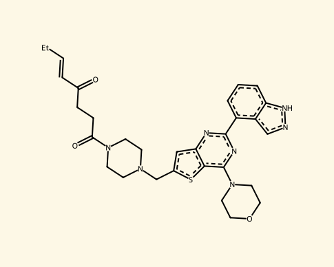 CCC=CC(=O)CCC(=O)N1CCN(Cc2cc3nc(-c4cccc5[nH]ncc45)nc(N4CCOCC4)c3s2)CC1